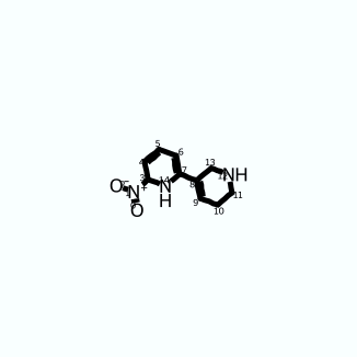 O=[N+]([O-])C1C=CC=C(C2=CCCNC2)N1